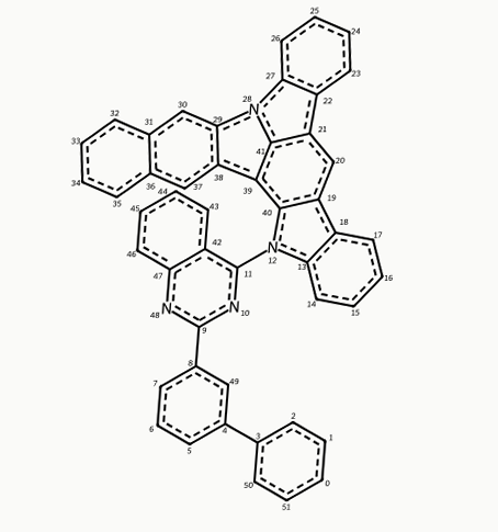 c1ccc(-c2cccc(-c3nc(-n4c5ccccc5c5cc6c7ccccc7n7c8cc9ccccc9cc8c(c54)c67)c4ccccc4n3)c2)cc1